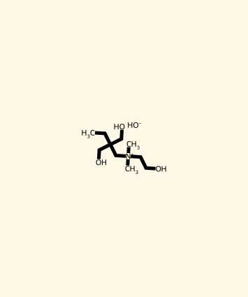 CCC(CO)(CO)C[N+](C)(C)CCO.[OH-]